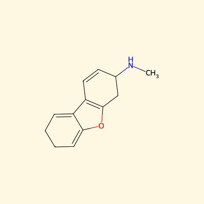 CNC1C=Cc2c(oc3c2=CCCC=3)C1